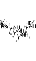 Br.Br.Br.Br.CCN.CCN.CCN.CCN